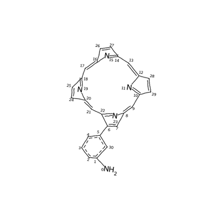 Nc1cccc(C2=CC3=CC4=NC(=CC5=NC(=CC6=NC(=CC2=N3)C=C6)C=C5)C=C4)c1